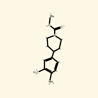 Cc1cc(C2CCN(C(=O)OC(C)(C)C)CC2)ccc1N